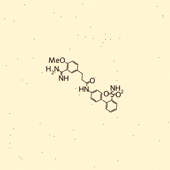 COc1ccc(CCC(=O)Nc2ccc(-c3ccccc3S(N)(=O)=O)cc2)cc1C(=N)N